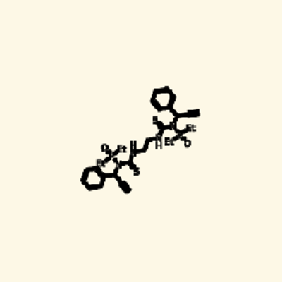 C#CC(c1ccccc1)N(C(=S)NCCNC(=S)N(C(C#C)c1ccccc1)P(=O)(CC)CC)P(=O)(CC)CC